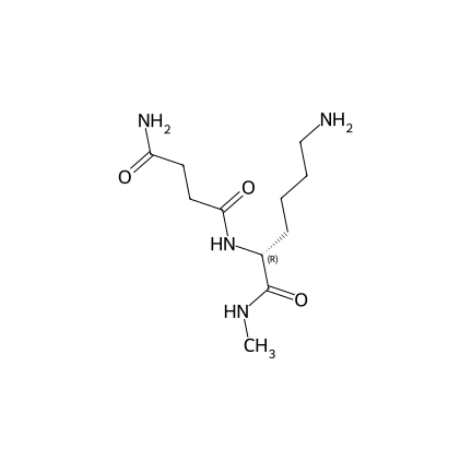 CNC(=O)[C@@H](CCCCN)NC(=O)CCC(N)=O